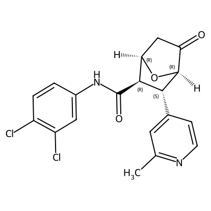 Cc1cc([C@@H]2[C@@H](C(=O)Nc3ccc(Cl)c(Cl)c3)[C@H]3CC(=O)[C@@H]2O3)ccn1